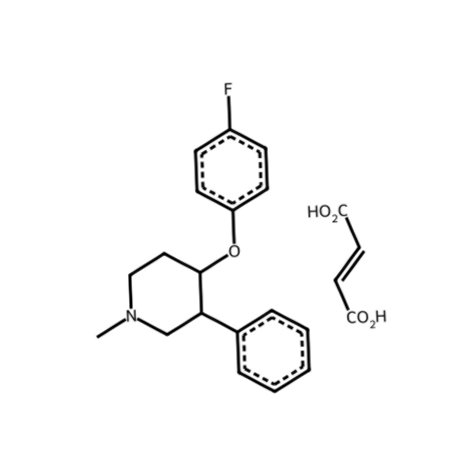 CN1CCC(Oc2ccc(F)cc2)C(c2ccccc2)C1.O=C(O)C=CC(=O)O